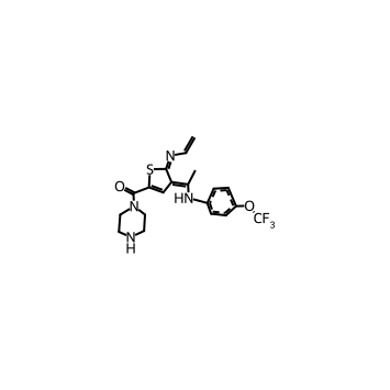 C=C/N=C1/SC(C(=O)N2CCNCC2)=C/C1=C(/C)Nc1ccc(OC(F)(F)F)cc1